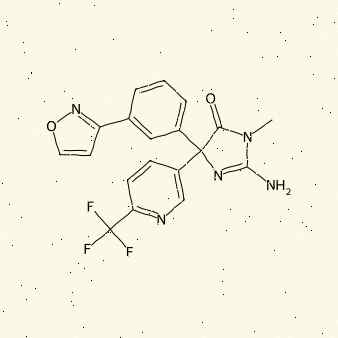 CN1C(=O)C(c2ccc(C(F)(F)F)nc2)(c2cccc(-c3ccon3)c2)N=C1N